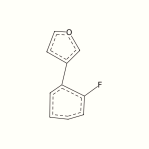 Fc1ccccc1-c1ccoc1